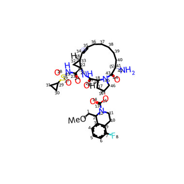 COCC1c2cccc(F)c2CCN1C(=O)O[C@@H]1C[C@H]2C(=O)N[C@]3(C(=O)NS(=O)(=O)C4CC4)C[C@H]3/C=C\CCCCC[C@H](N)C(=O)N2C1